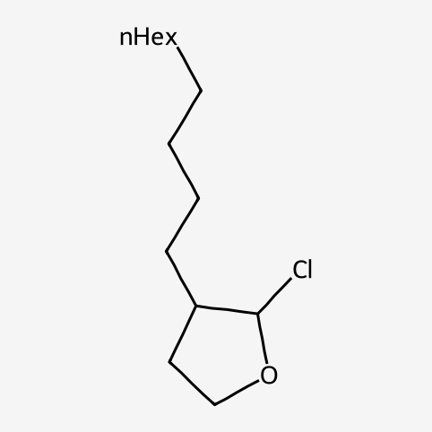 CCCCCCCCCCC1CCOC1Cl